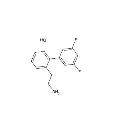 Cl.NCCc1ccccc1-c1cc(F)cc(F)c1